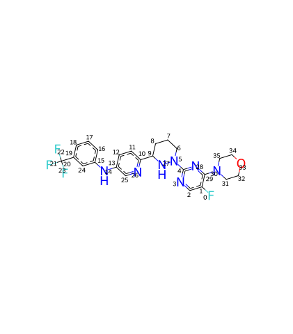 Fc1cnc(N2CCCC(c3ccc(Nc4cccc(C(F)(F)F)c4)cn3)N2)nc1N1CCOCC1